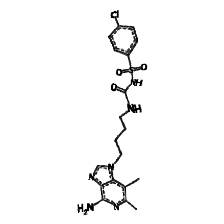 Cc1nc(N)c2ncn(CCCCNC(=O)NS(=O)(=O)c3ccc(Cl)cc3)c2c1C